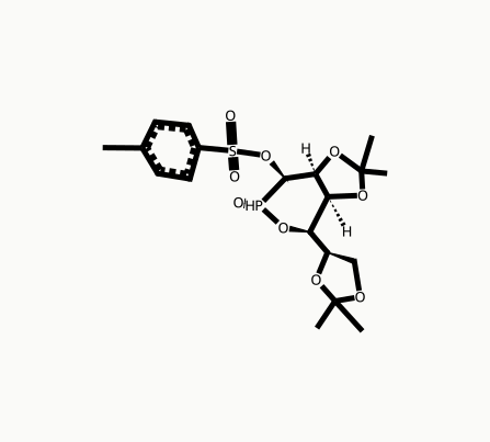 Cc1ccc(S(=O)(=O)O[C@H]2[C@H]3OC(C)(C)O[C@H]3[C@@H]([C@H]3COC(C)(C)O3)O[PH]2=O)cc1